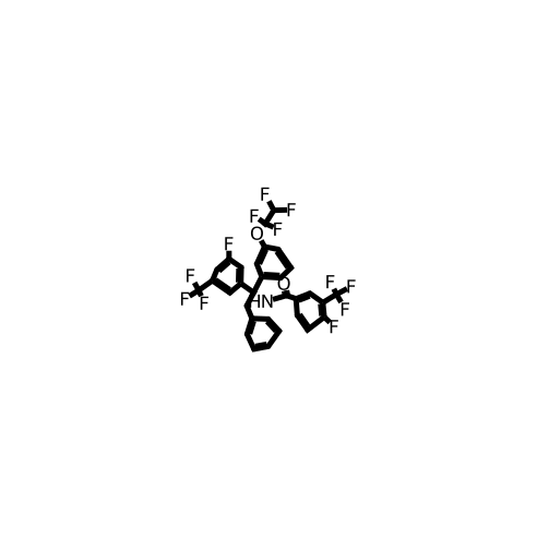 O=C(NC(Cc1ccccc1)(c1cccc(OC(F)(F)C(F)F)c1)c1cc(F)cc(C(F)(F)F)c1)c1ccc(F)c(C(F)(F)F)c1